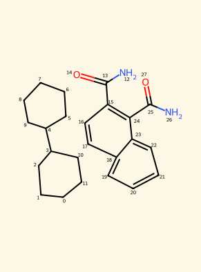 C1CCC(C2CCCCC2)CC1.NC(=O)c1ccc2ccccc2c1C(N)=O